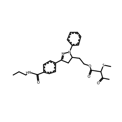 CCCNC(=O)c1ccc(C2=NN(c3ccccc3)C(CCOC(=O)C(SC)C(C)=O)C2)cc1